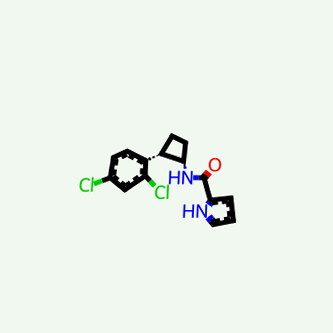 O=C(N[C@H]1CC[C@H]1c1ccc(Cl)cc1Cl)c1ccc[nH]1